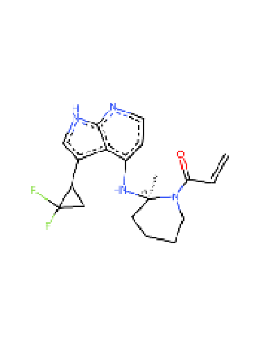 C=CC(=O)N1CCCC[C@@]1(C)Nc1ccnc2[nH]cc(C3CC3(F)F)c12